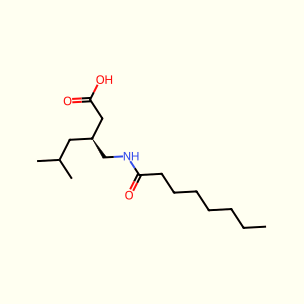 CCCCCCCC(=O)NC[C@H](CC(=O)O)CC(C)C